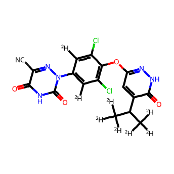 [2H]c1c(Cl)c(Oc2cc(C(C([2H])([2H])[2H])C([2H])([2H])[2H])c(=O)[nH]n2)c(Cl)c([2H])c1-n1nc(C#N)c(=O)[nH]c1=O